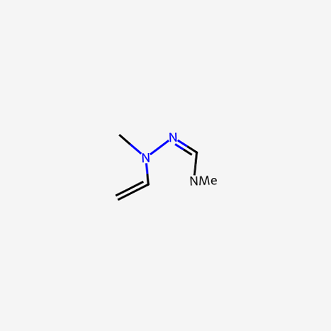 C=CN(C)/N=C\NC